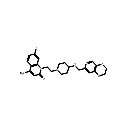 Cc1cc(=O)n(CCN2CCC(NCc3cc4c(cn3)OCCO4)CC2)c2cc(F)ccc12